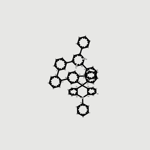 c1ccc(-c2cc(-c3cccc(-c4ccccc4-c4ccc5c(c4)C4(c6ccccc6-5)c5ccccc5N(c5ccccc5)c5ccccc54)c3)nc(-c3ccccc3)n2)cc1